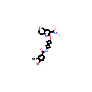 N#Cc1cc(C(=O)N[C@H]2CC3(C2)C[C@H](Oc2nc4c(cc2C(N)=O)COCC4)C3)ccc1Br